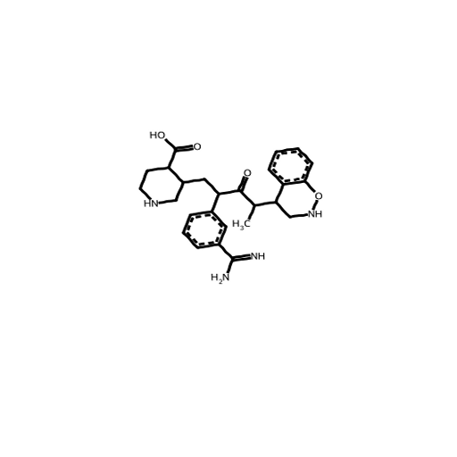 CC(C(=O)C(CC1CNCCC1C(=O)O)c1cccc(C(=N)N)c1)C1CNOc2ccccc21